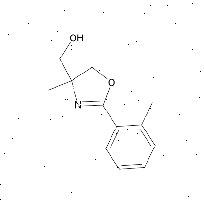 Cc1ccccc1C1=NC(C)(CO)CO1